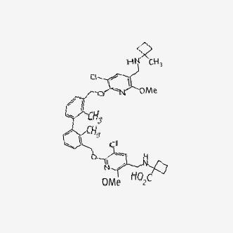 COc1nc(OCc2cccc(-c3cccc(COc4nc(OC)c(CNC5(C(=O)O)CCC5)cc4Cl)c3C)c2C)c(Cl)cc1CNC1(C)CCC1